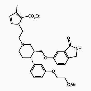 CCOC(=O)c1c(C)ccn1CCN1CC[C@@H](c2cccc(OCCOC)c2)[C@H](COc2ccc3c(c2)C(=O)NC3)C1